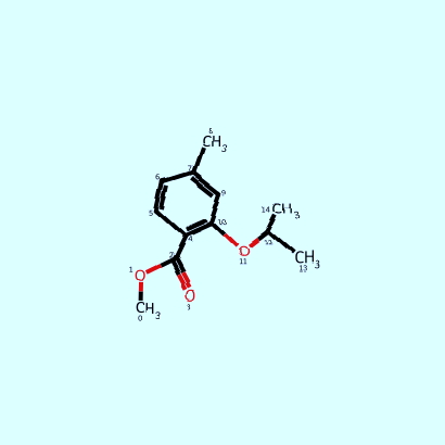 COC(=O)c1ccc(C)cc1OC(C)C